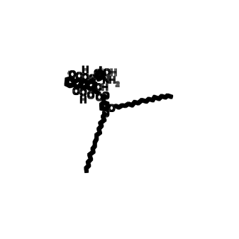 CCCCCCCCCCCCCCCCCCOc1ccc(C(=O)OCC(=O)[C@]2(O)Cc3c(O)c4c(c(O)c3[C@@H](O[C@H]3C[C@H](N)[C@H](O)[C@H](C)O3)C2)C(=O)c2c(OC)cccc2C4=O)cc1OCCCCCCCCCCCCCCCCCC